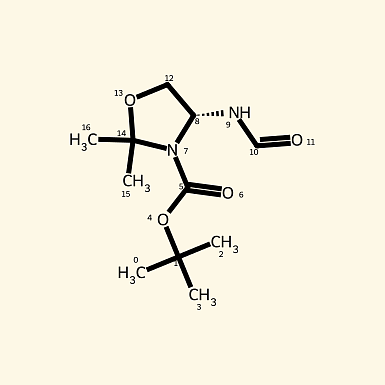 CC(C)(C)OC(=O)N1[C@@H](NC=O)COC1(C)C